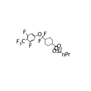 CCCC12COC(C3CCC(C(F)(F)Oc4cc(F)c(C(F)(F)F)c(F)c4)CC3)(OC1)OC2